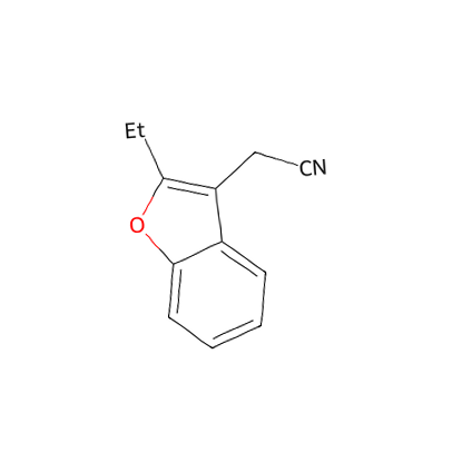 CCc1oc2ccccc2c1CC#N